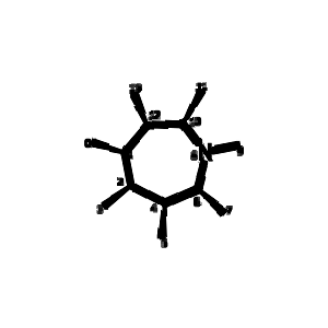 C[C@@H]1[C@H](C)[C@H](C)[C@H](C)N(C)[C@H](C)[C@@H]1C